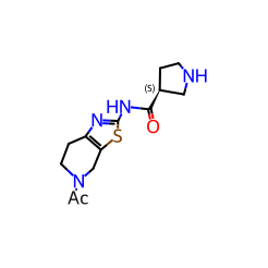 CC(=O)N1CCc2nc(NC(=O)[C@H]3CCNC3)sc2C1